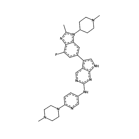 Cc1nc2c(F)cc(-c3c[nH]c4nc(Nc5ccc(N6CCN(C)CC6)nc5)ncc34)cc2n1C1CCN(C)CC1